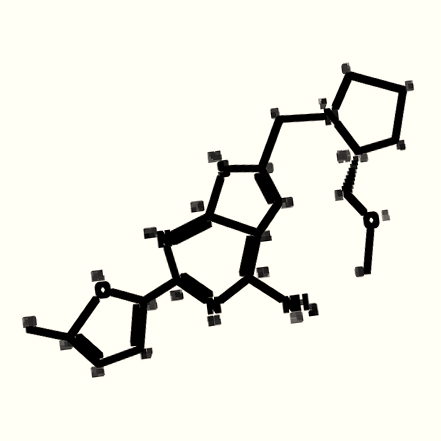 COC[C@H]1CCCN1Cc1cc2c(N)nc(-c3ccc(C)o3)nc2s1